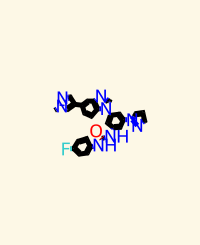 Cn1cc(-c2ccc3c(c2)ncn3-c2cc(NC(=O)Nc3ccc(F)cc3)cc(-n3cccn3)c2)cn1